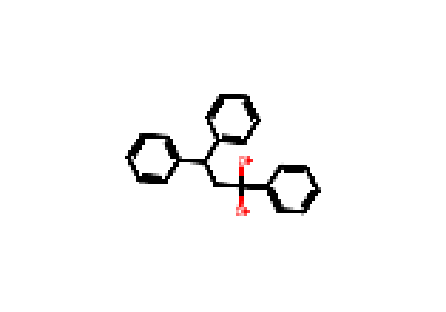 OC(O)(CC(c1ccccc1)c1ccccc1)c1ccccc1